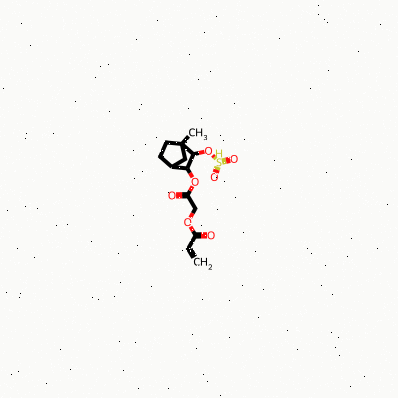 C=CC(=O)OCC(=O)OC1C2CCC(C)(C2)C1O[SH](=O)=O